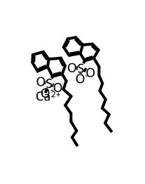 CCCCCCCCCc1ccc2ccccc2c1S(=O)(=O)[O-].CCCCCCCCCc1ccc2ccccc2c1S(=O)(=O)[O-].[Ca+2]